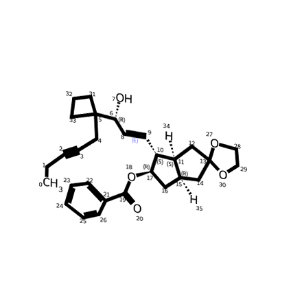 CCC#CCC1([C@H](O)/C=C/[C@@H]2[C@H]3CC4(C[C@H]3C[C@H]2OC(=O)c2ccccc2)OCCO4)CCC1